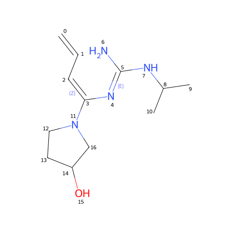 C=C/C=C(\N=C(/N)NC(C)C)N1CCC(O)C1